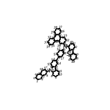 c1ccc2cc(-n3c4ccccc4c4cc(-c5ccc(N(c6ccc7c8ccccc8c8ccccc8c7c6)c6cccc7c6sc6ccccc67)cc5)ccc43)ccc2c1